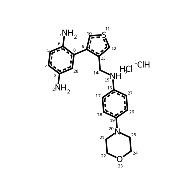 Cl.Cl.Nc1ccc(N)c(-c2cscc2CNc2ccc(N3CCOCC3)cc2)c1